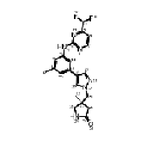 Cc1cc(Nc2nccc(C(F)F)n2)cc(-c2cnn(C[C@]3(C)CNC(=O)C3)c2)c1